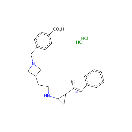 CC/C(=C\c1ccccc1)C1CC1NCCC1CN(Cc2ccc(C(=O)O)cc2)C1.Cl.Cl